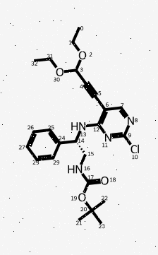 CCOC(C#Cc1cnc(Cl)nc1N[C@H](CNC(=O)OC(C)(C)C)c1ccccc1)OCC